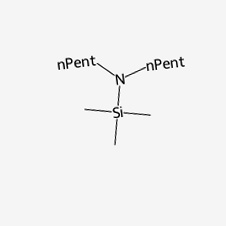 CCCCCN(CCCCC)[Si](C)(C)C